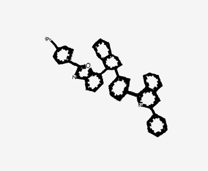 CC(C)c1ccc(-c2nc3cccc(-c4c(-c5cccc(-c6nc(-c7ccccc7)cc7ccccc67)c5)ccc5ccccc45)c3o2)cc1